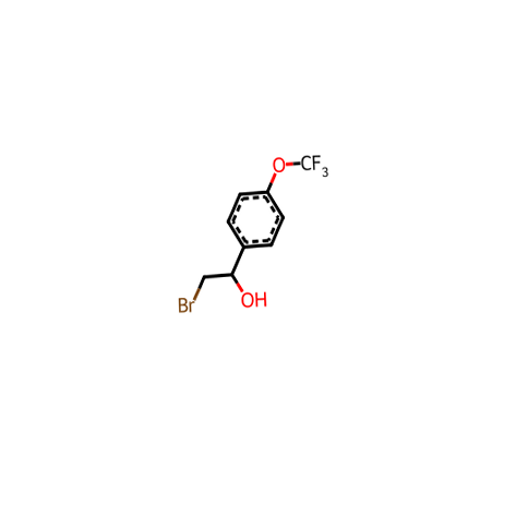 OC(CBr)c1ccc(OC(F)(F)F)cc1